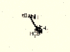 Cn1cnc2c1c(=O)n(CCCCCCCCCC(O)CNC(C)(C)C)c(=O)n2C